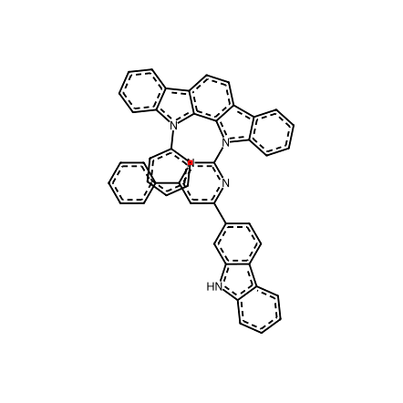 c1ccc(-c2cc(-c3ccc4c(c3)[nH]c3ccccc34)nc(-n3c4ccccc4c4ccc5c6ccccc6n(-c6ccccc6)c5c43)n2)cc1